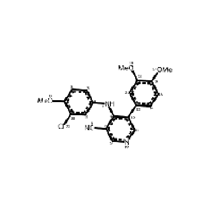 COc1ccc(Nc2c(C#N)cncc2-c2ccc(OC)c(OC)c2)cc1Cl